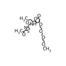 CCCC(NC(=O)C1CSC(C(C)=O)=N1)c1cc(OCCOCCOCCOCC)cc(=O)o1